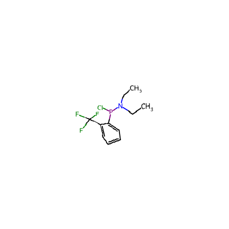 CCN(CC)P(Cl)c1ccccc1C(F)(F)F